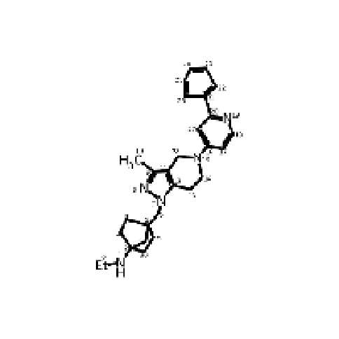 CCNC12CCC(Cn3nc(C)c4c3CCN(c3ccnc(-c5ccccc5)c3)C4)(CC1)C2